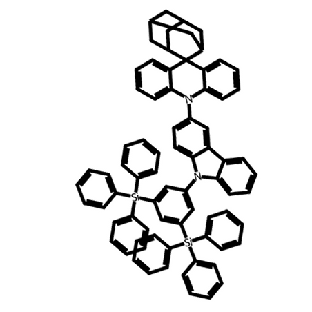 c1ccc([Si](c2ccccc2)(c2ccccc2)c2cc(-n3c4ccccc4c4cc(N5c6ccccc6C6(c7ccccc75)C5CC7CC(C5)CC6C7)ccc43)cc([Si](c3ccccc3)(c3ccccc3)c3ccccc3)c2)cc1